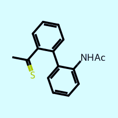 CC(=O)Nc1ccccc1-c1ccccc1C(C)=S